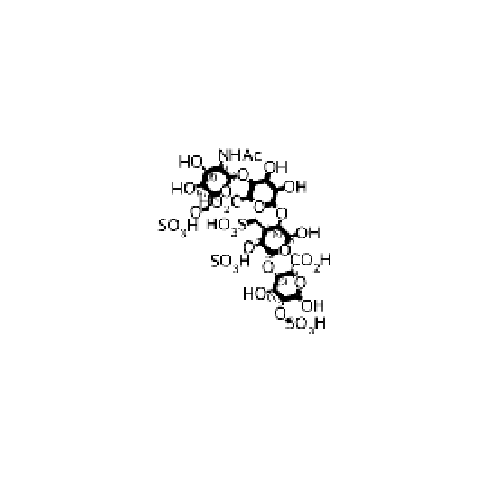 CC(=O)N[C@H]1[C@@H](OC2C(C(=O)O)OC(O[C@H]3[C@H](CS(=O)(=O)O)[C@@H](OS(=O)(=O)O)[C@@H](O[C@H]4[C@H](O)[C@@H](OS(=O)(=O)O)C(O)O[C@H]4C(=O)O)O[C@@H]3O)C(O)C2O)O[C@H](COS(=O)(=O)O)[C@@H](O)[C@@H]1O